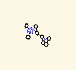 c1ccc(-c2nc(-c3ccccc3)nc(-n3c4ccccc4c4cc(-c5ccc6c(c5)c5ccc7cccc8c9ccccc9n6c5c78)ccc43)n2)cc1